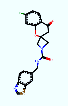 O=C1CC2(CN(C(=O)NCc3ccc4ncsc4c3)C2)Oc2cc(F)ccc21